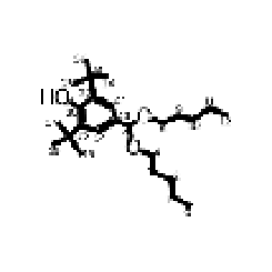 CCCCCOC(OCCCCC)c1cc(C(C)(C)C)c(O)c(C(C)(C)C)c1